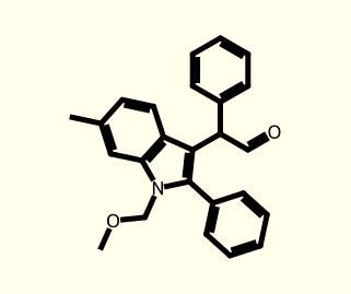 COCn1c(-c2ccccc2)c(C(C=O)c2ccccc2)c2ccc(C)cc21